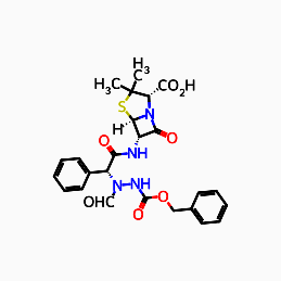 CC1(C)S[C@@H]2[C@@H](NC(=O)[C@@H](c3ccccc3)N(C=O)NC(=O)OCc3ccccc3)C(=O)N2[C@H]1C(=O)O